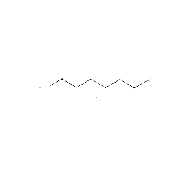 CCCCCCCCCCCC(C)C.N